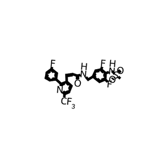 CS(=O)(=O)Nc1c(F)cc(CNC(=O)/C=C\c2ccc(C(F)(F)F)nc2-c2cccc(F)c2)cc1F